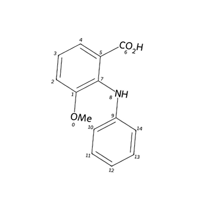 COc1cccc(C(=O)O)c1Nc1ccccc1